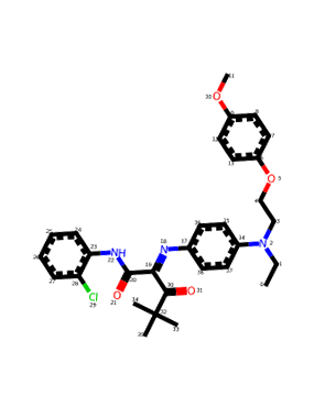 CCN(CCOc1ccc(OC)cc1)c1ccc(/N=C(/C(=O)Nc2ccccc2Cl)C(=O)C(C)(C)C)cc1